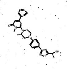 C[C@H](N)c1nc(-c2ccc(N3CCN(c4nc(-c5ccncc5)cc(=O)n4C)[C@H](C)C3)cc2)no1